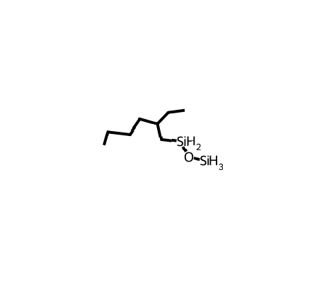 CCCCC(CC)C[SiH2]O[SiH3]